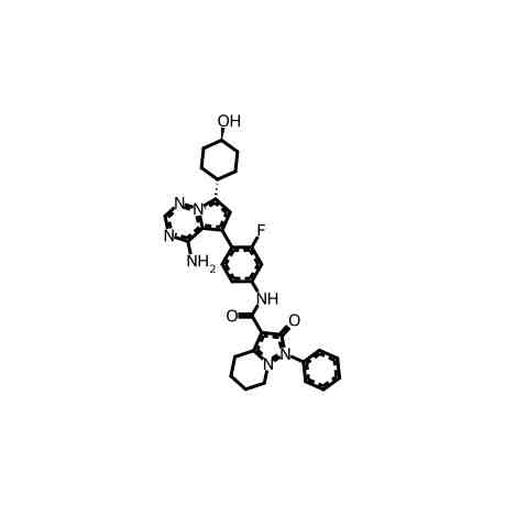 Nc1ncnn2c1c(-c1ccc(NC(=O)c3c4n(n(-c5ccccc5)c3=O)CCCC4)cc1F)cc2[C@H]1CC[C@H](O)CC1